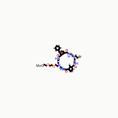 COCCOCCOCCN1CCNC(=O)c2cccc(c2C)C(=O)NCCN(CCBr)CCNC(=O)c2cccc(c2OCc2ccccc2)C(=O)NCC1